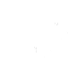 CCCCNc1ccc(N)c2c1C(=O)c1ccccc1C2=O